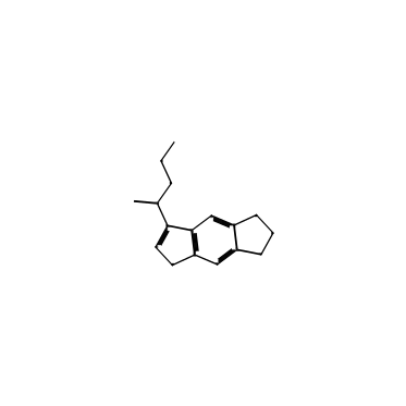 CCCC(C)C1=CCc2cc3c(cc21)CCC3